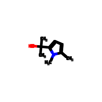 Cc1ccc(C(C)(C)O)n1C